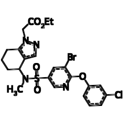 CCOC(=O)Cn1ncc2c1CCCC2N(C)S(=O)(=O)c1cnc(Oc2cccc(Cl)c2)c(Br)c1